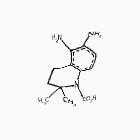 CC1(C)CCc2c(ccc(N)c2N)N1C(=O)O